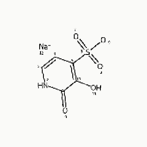 O=c1[nH]ccc(S(=O)(=O)[O-])c1O.[Na+]